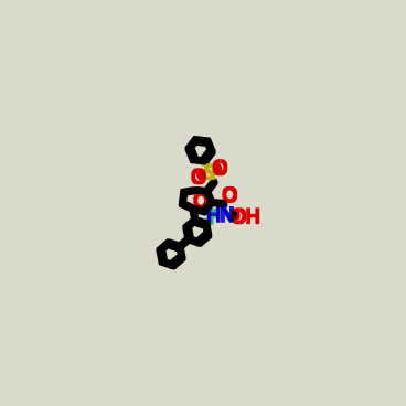 O=C(NO)C1CC2(c3cc(-c4ccccc4)ccc3F)CCC(O2)C1CS(=O)(=O)c1ccccc1